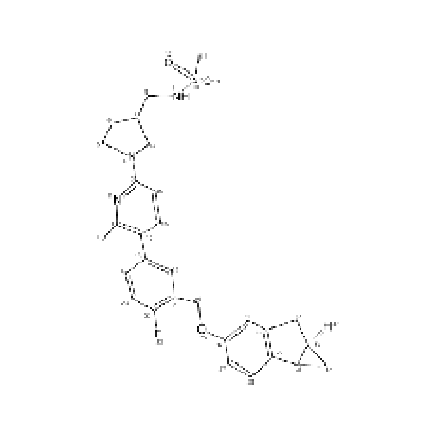 Cc1nc(N2CCC(CNS(C)(=O)=O)C2)ccc1-c1ccc(F)c(COc2ccc3c(c2)C[C@H]2CC32)c1